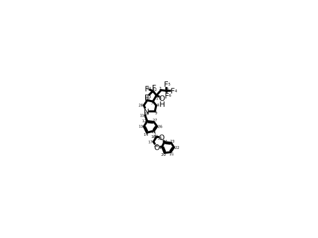 OC(CC(F)(F)F)(C1CCN(Cc2ccc([C@H]3COc4ccccc4O3)cc2)CC1)C(F)(F)F